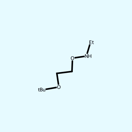 CCNOCCOC(C)(C)C